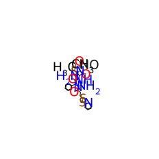 CC1(C)SC2(N)C(NC(=O)C(c3ccccc3)N(N)C(=O)CCSSc3ccccn3)C(=O)N2C1C(=O)N=O